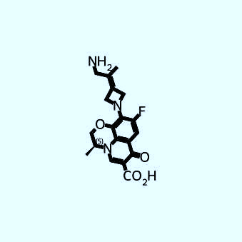 CC(CN)=C1CN(c2c(F)cc3c(=O)c(C(=O)O)cn4c3c2OC[C@@H]4C)C1